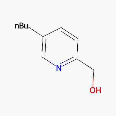 CCCCc1ccc(CO)nc1